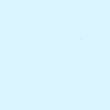 C[N+](C)(C)CCOC(=O)c1cccc(C=O)c1C=O.[I-]